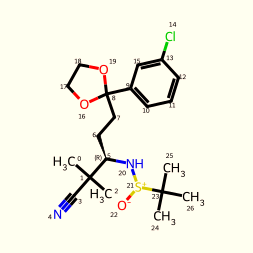 CC(C)(C#N)[C@@H](CCC1(c2cccc(Cl)c2)OCCO1)N[S+]([O-])C(C)(C)C